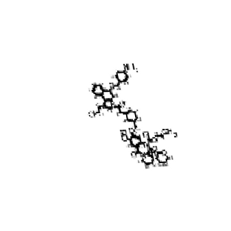 C=CCOC(=O)N1c2cc(OCc3cccc(CC(=O)N4C[C@@H](CCCl)c5c4cc(OCc4ccc(N)cc4)c4ccccc54)c3)c(OC)cc2C(=O)N2CCCC[C@H]2C1OC1CCCCO1